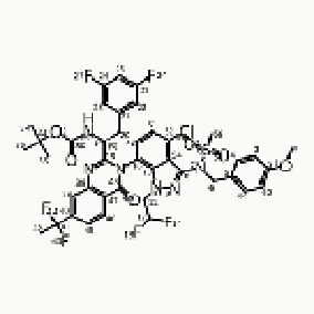 COc1ccc(CN(c2nn(CC(F)F)c3c(-n4c([C@H](Cc5cc(F)cc(F)c5)NC(=O)OC(C)(C)C)nc5cc(C(C)(F)F)ccc5c4=O)ccc(Cl)c23)S(C)(=O)=O)cc1